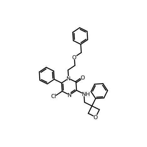 O=c1c(NCC2(c3ccccc3)COC2)nc(Cl)c(-c2ccccc2)n1CCOCc1ccccc1